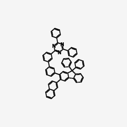 c1ccc(-c2nc(-c3ccccc3)nc(-c3cccc(-c4cccc(-c5cc6c(cc5-c5ccc7ccccc7c5)-c5ccccc5C6(c5ccccc5)c5ccccc5)c4)c3)n2)cc1